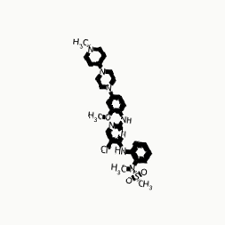 COc1cc(N2CCN(C3CCN(C)CC3)CC2)ccc1Nc1ncc(Cl)c(Nc2ccccc2N(C)S(C)(=O)=O)n1